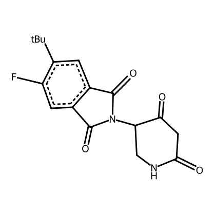 CC(C)(C)c1cc2c(cc1F)C(=O)N(C1CNC(=O)CC1=O)C2=O